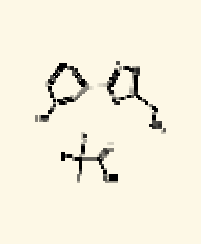 NCc1nnc(-c2cccc(O)c2)o1.O=C(O)C(F)(F)F